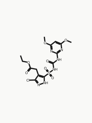 CCOC(=O)Cc1c(Cl)n[nH]c1S(=O)(=O)NC(=O)Nc1nc(OC)cc(OC)n1